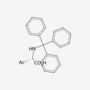 CC(=O)[C@H](NC(c1ccccc1)(c1ccccc1)c1ccccc1)C(=O)O